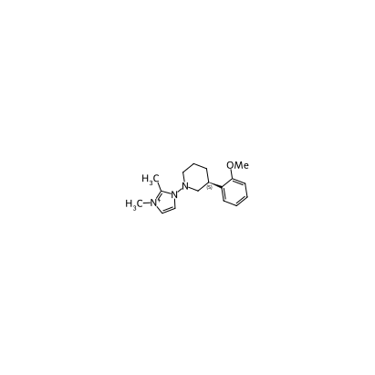 COc1ccccc1[C@@H]1CCCN(n2cc[n+](C)c2C)C1